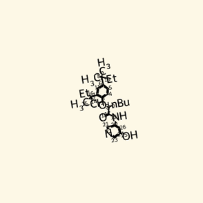 CCCCC(Oc1ccc(C(C)(C)CC)cc1C(C)(C)CC)C(=O)Nc1cncc(O)c1